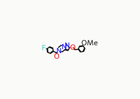 COc1cccc(COc2cc3n(n2)CCN(C(=O)c2ccc(F)cc2)C3)c1